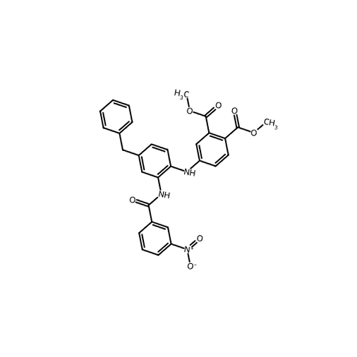 COC(=O)c1ccc(Nc2ccc(Cc3ccccc3)cc2NC(=O)c2cccc([N+](=O)[O-])c2)cc1C(=O)OC